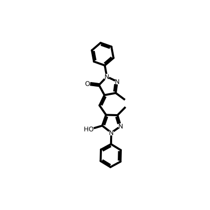 CC1=NN(c2ccccc2)C(=O)/C1=C/c1c(C)nn(-c2ccccc2)c1O